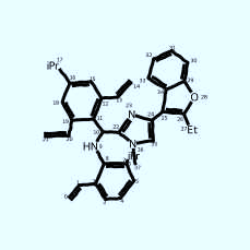 C=Cc1cccc(C(C)C)c1NC(c1c(C=C)cc(C(C)C)cc1C=C)c1nc(-c2c(CC)oc3ccccc23)cn1C